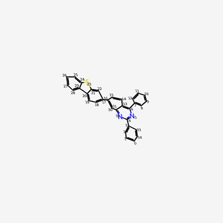 c1ccc(-c2nc(-c3ccccc3)c3ccc(-c4ccc5c(c4)sc4ccccc45)cc3n2)cc1